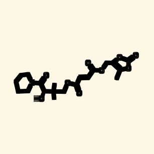 Cc1oc(=O)oc1COC(=O)/C=C/C(=O)OCC(C)(C)[C@@H](O)C(=O)N1CCCCC1